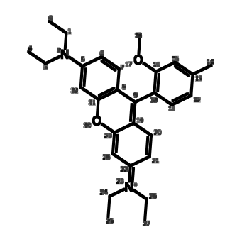 CCN(CC)c1ccc2c(-c3ccc(C)cc3OC)c3ccc(=[N+](CC)CC)cc-3oc2c1